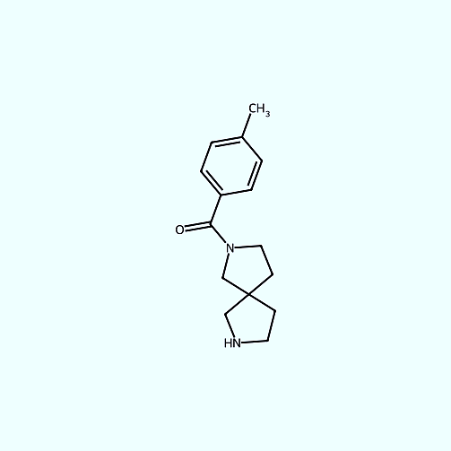 Cc1ccc(C(=O)N2CCC3(CCNC3)C2)cc1